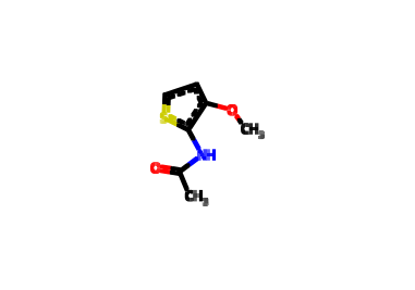 COc1ccsc1NC(C)=O